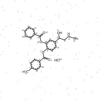 Cc1ccc(C(=O)Oc2ccc(C(O)CNC(C)(C)C)cc2OC(=O)c2cccnc2)cc1.Cl